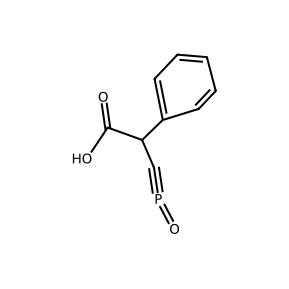 O=P#CC(C(=O)O)c1ccccc1